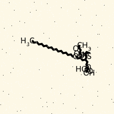 CCCCCCCCCCCCCCCCCCOCC(CC(CCOP(=O)(O)O)c1nccs1)OC(=O)CC(C)=O